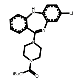 CC(C)COC(=O)N1CCN(C2=Nc3cc(Cl)ccc3Nc3ccccc32)CC1